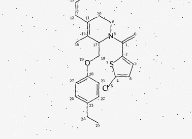 C=C(c1ccc(Cl)s1)N1CCC(/C=C\C)=C(C)C1COc1ccc(CC)cc1